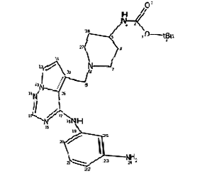 CC(C)(C)OC(=O)NC1CCN(Cc2ccn3ncnc(Nc4cccc(N)c4)c23)CC1